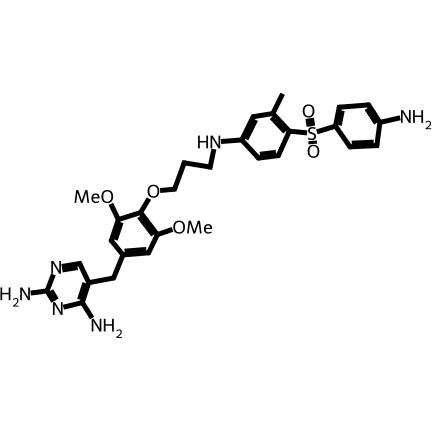 COc1cc(Cc2cnc(N)nc2N)cc(OC)c1OCCCNc1ccc(S(=O)(=O)c2ccc(N)cc2)c(C)c1